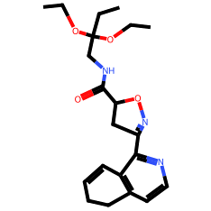 CCOC(CC)(CNC(=O)C1CC(c2nccc3c2C=CCC3)=NO1)OCC